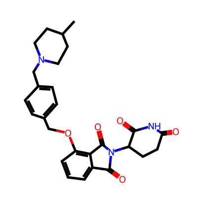 CC1CCN(Cc2ccc(COc3cccc4c3C(=O)N(C3CCC(=O)NC3=O)C4=O)cc2)CC1